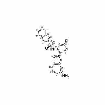 NC1=CC(C[S+]([O-])c2ccc(Cl)cc2NS(=O)(=O)c2cc3ccccc3o2)=C=CC=C1